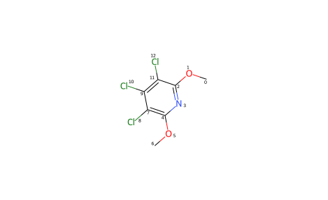 COc1nc(OC)c(Cl)c(Cl)c1Cl